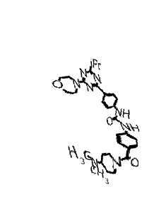 CC(C)c1nc(-c2ccc(NC(=O)Nc3ccc(C(=O)N4CCC(N(C)C)CC4)cc3)cc2)nc(N2CCOCC2)n1